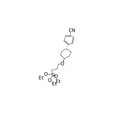 CCO[Si](CCCO[C@H]1CC[C@H](c2ccc(C#N)cc2)CC1)(OCC)OCC